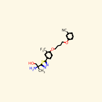 CC(N)(CO)c1nnc(-c2ccc(OCCCCOc3cccc(C#N)c3)c(C(F)(F)F)c2)s1